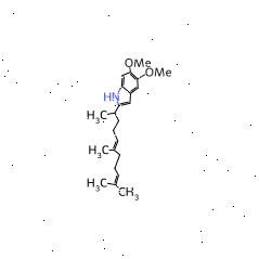 COc1cc2cc(C(C)CC/C=C(\C)CCC=C(C)C)[nH]c2cc1OC